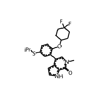 CC(C)Sc1ccc(OC2CCC(F)(F)CC2)c(-c2cn(C)c(=O)c3[nH]ccc23)c1